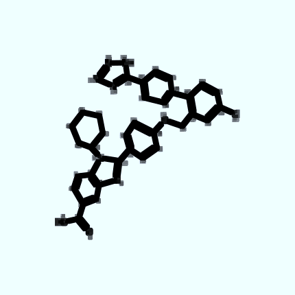 O=C(O)c1ccc2c(c1)nc(-c1ccc(OCc3cc(Cl)ccc3-c3ccc(-c4nnn[nH]4)cc3)cc1)n2C1CCCCC1